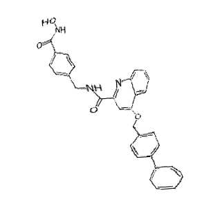 O=C(NO)c1ccc(CNC(=O)c2cc(OCc3ccc(-c4ccccc4)cc3)c3ccccc3n2)cc1